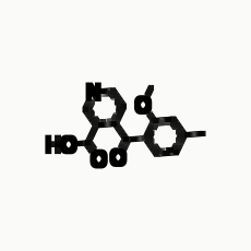 COc1cc(C)ccc1C(=O)c1ccncc1C(=O)O